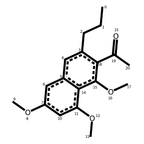 CCCc1cc2cc(OC)cc(OC)c2c(OC)c1C(C)=O